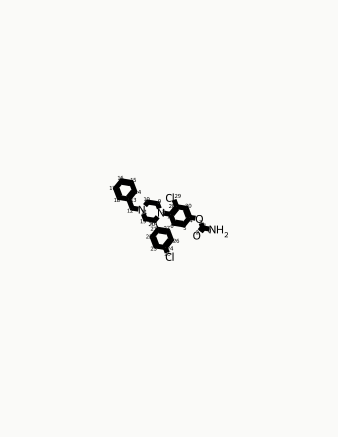 NC(=O)Oc1ccc(N2CCN(Cc3ccccc3)C[C@H]2c2ccc(Cl)cc2)c(Cl)c1